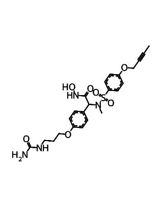 CC#CCOc1ccc(S(=O)(=O)N(C)C(C(=O)NO)c2ccc(OCCCNC(N)=O)cc2)cc1